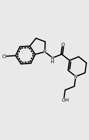 O=C(NN1CCc2cc(Cl)ccc21)C1=CN(CCO)CCC1